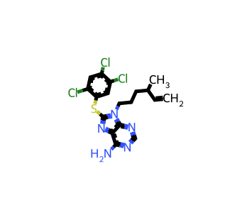 C=CC(C)CCCn1c(Sc2cc(Cl)c(Cl)cc2Cl)nc2c(N)ncnc21